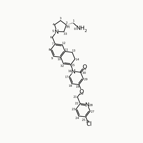 NC[C@H]1CCN(Cc2ccc3c(c2)CCC(n2ccc(OCc4ccc(Cl)cn4)cc2=O)=C3)C1